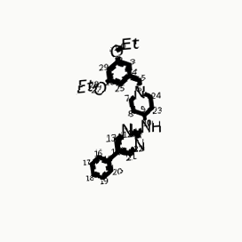 CCOc1cc(CN2CCC(Nc3ncc(-c4ccccc4)cn3)CC2)cc(OCC)c1